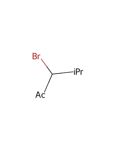 CC(=O)C(Br)C(C)C